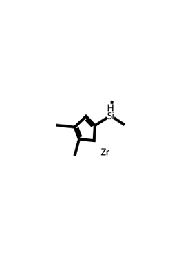 CC1=C(C)CC([SiH](C)C)=C1.[Zr]